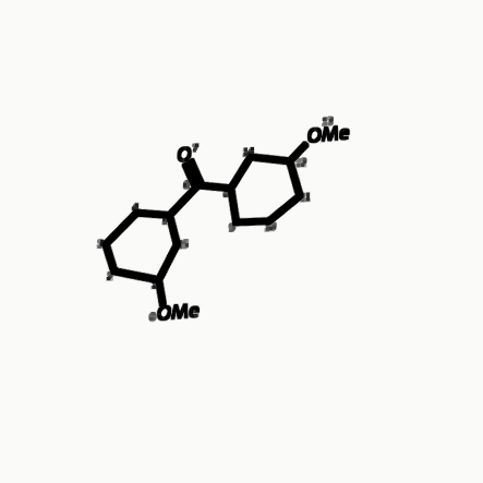 COC1CCCC(C(=O)C2CCCC(OC)C2)C1